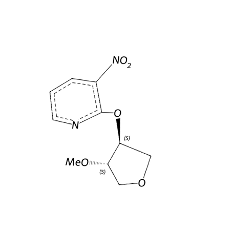 CO[C@H]1COC[C@@H]1Oc1ncccc1[N+](=O)[O-]